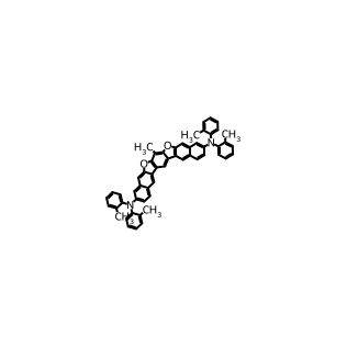 Cc1ccccc1N(c1ccc2cc3c(cc2c1)oc1c(C)c2oc4cc5cc(N(c6ccccc6C)c6ccccc6C)ccc5cc4c2cc13)c1ccccc1C